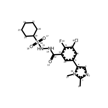 Cc1ncc(-c2cc(Cl)c(F)c(C(=O)NNS(=O)(=O)C3CCCCC3)c2)n1C